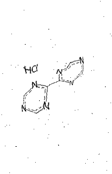 Cl.c1ncnc(-c2ncncn2)n1